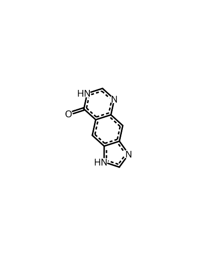 O=c1[nH]cnc2cc3nc[nH]c3cc12